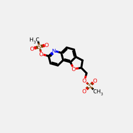 CS(=O)(=O)OCC1Cc2ccc3nc(OS(C)(=O)=O)ccc3c2O1